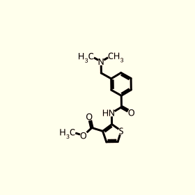 COC(=O)c1ccsc1NC(=O)c1cccc(CN(C)C)c1